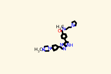 CN1CCN(c2ccc(-c3cnc4[nH]cc(-c5ccc(C(=O)N(C)CCCN6CCCC6)cc5)c4n3)cc2)CC1